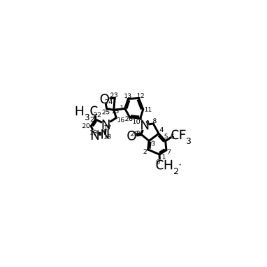 [CH2]c1cc2c(c(C(F)(F)F)c1)CN(c1cccc(C3(Cn4nncc4C)COC3)c1)C2=O